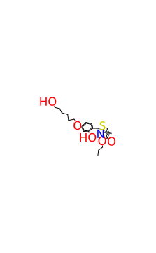 CCCOC(=O)[C@@]1(C)CSC(c2ccc(OCCCCCCO)cc2O)=N1